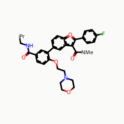 CNC(=O)c1c(-c2ccc(F)cc2)oc2ccc(-c3cc(C(=O)NCC(C)C)ccc3OCCN3CCOCC3)cc12